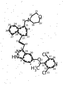 CC(Oc1ccc2[nH]nc(/C=C/c3ccc(CN4CCOCC4)c4ccccc34)c2c1)c1c(Cl)cncc1Cl